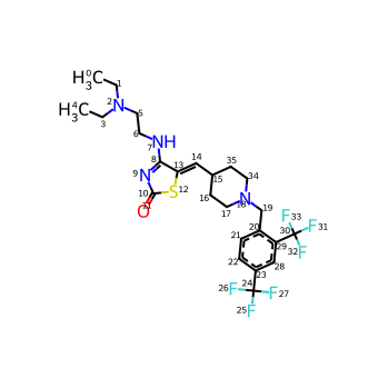 CCN(CC)CCNC1=NC(=O)S/C1=C\C1CCN(Cc2ccc(C(F)(F)F)cc2C(F)(F)F)CC1